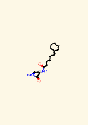 O=C(CCCCCC1CCCCC1)N[C@H]1CNC1=O